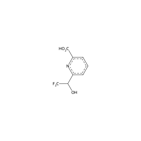 O=C(O)c1cccc(C(O)C(F)(F)F)n1